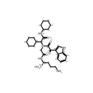 NCCC[C@H](NC(=O)CN(C(=O)C(=O)c1c[nH]c2ccccc12)C(C(=O)NC1CCCCC1)C1CCCCC1)C(=O)O